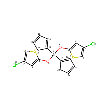 Clc1csc([O][Zr]([O]c2cc(Cl)cs2)([C]2=CC=CC2)[C]2=CC=CC2)c1